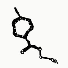 Cc1ccc(C(=O)OOO)cc1